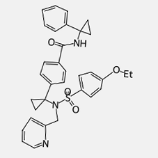 CCOc1ccc(S(=O)(=O)N(Cc2ccccn2)C2(c3ccc(C(=O)NC4(c5ccccc5)CC4)cc3)CC2)cc1